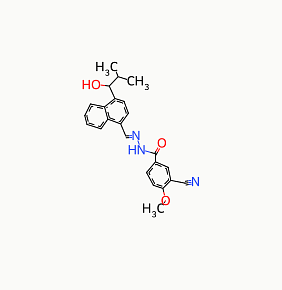 COc1ccc(C(=O)N/N=C/c2ccc(C(O)C(C)C)c3ccccc23)cc1C#N